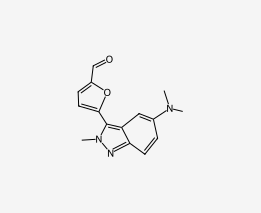 CN(C)c1ccc2nn(C)c(-c3ccc(C=O)o3)c2c1